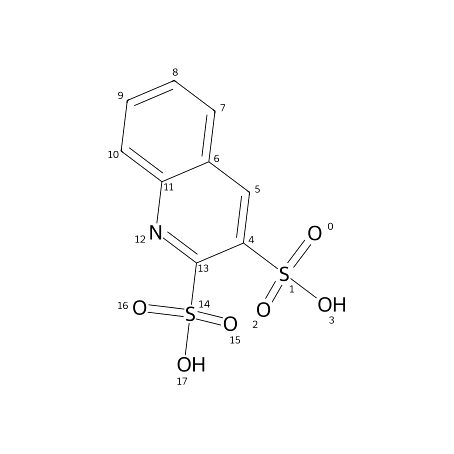 O=S(=O)(O)c1cc2ccccc2nc1S(=O)(=O)O